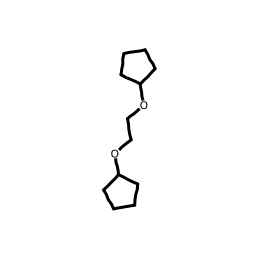 C1CCC(OCCOC2CCCC2)C1